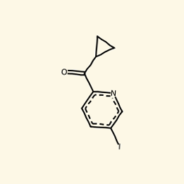 O=C(c1ccc(I)cn1)C1CC1